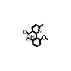 COc1cccc(Cl)c1-c1nc(C)ccc1C(=O)O